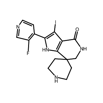 O=C1NCC2(CCNCC2)c2[nH]c(-c3ccncc3F)c(I)c21